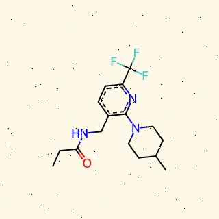 CCC(=O)NCc1ccc(C(F)(F)F)nc1N1CCC(C)CC1